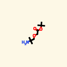 CC(C)(N)COCC(=O)OC(C)(C)C